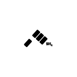 C#C.C#C.C#C.C#C.[SiH4]